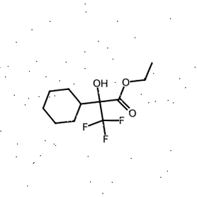 CCOC(=O)C(O)(C1CCCCC1)C(F)(F)F